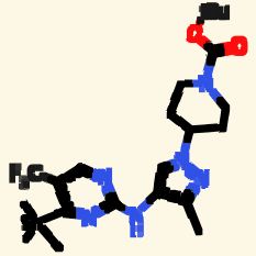 Cc1nn(C2CCN(C(=O)OC(C)(C)C)CC2)cc1Nc1ncc(C(F)(F)F)[c]([Sn]([CH3])([CH3])[CH3])n1